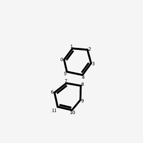 C1=CCC=CC1.C1=CCCC=C1